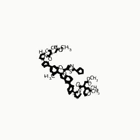 COC(=O)CC(C(=O)N1CCC[C@H]1C1=CC=C(c2ccc3c(c2)cc2n3C(c3cnc(C4CCCC4)s3)Oc3cc(C4=CC=C([C@@H]5CCCN5C(=O)[C@@H](CC(=O)OC)C(C)C)C4)cc(C)c3-2)C1)C1CCOC(C)(C)C1